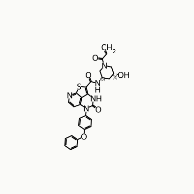 C=CC(=O)N1C[C@H](O)C[C@H](NC(=O)c2sc3nccc4c3c2NC(=O)N4c2ccc(Oc3ccccc3)cc2)C1